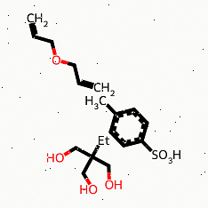 C=CCOCC=C.CCC(CO)(CO)CO.Cc1ccc(S(=O)(=O)O)cc1